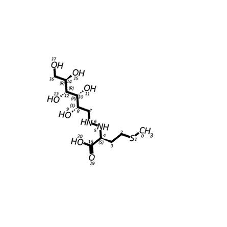 CSCC[C@H](NNC[C@H](O)[C@@H](O)[C@H](O)[C@H](O)CO)C(=O)O